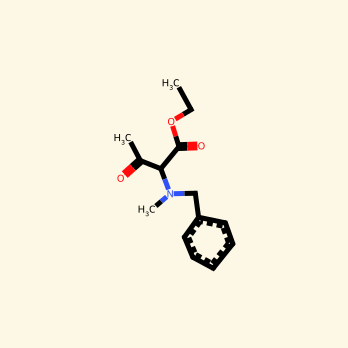 CCOC(=O)C(C(C)=O)N(C)Cc1ccccc1